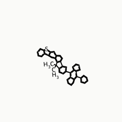 CC1(C)c2ccc(-c3c4ccccc4c(-c4ccccc4)c4ccccc34)cc2-c2ccc3cc4sc5ccccc5c4cc3c21